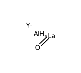 [AlH3].[O]=[La].[Y]